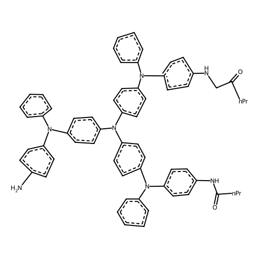 CCCC(=O)CNc1ccc(N(c2ccccc2)c2ccc(N(c3ccc(N(c4ccccc4)c4ccc(N)cc4)cc3)c3ccc(N(c4ccccc4)c4ccc(NC(=O)CCC)cc4)cc3)cc2)cc1